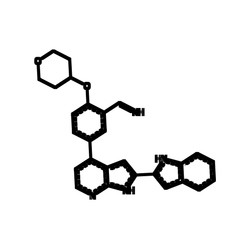 N=Cc1cc(-c2ccnc3[nH]c(-c4cc5ccccc5[nH]4)cc23)ccc1OC1CCOCC1